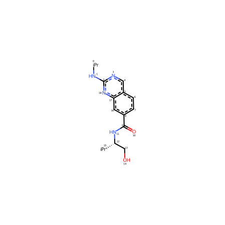 CC(C)Nc1ncc2ccc(C(=O)N[C@H](CO)C(C)C)cc2n1